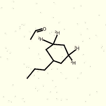 CC=O.[2H]C1([2H])CC(CCC)CC([2H])([2H])C1